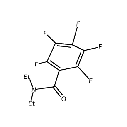 CCN(CC)C(=O)c1c(F)c(F)c(F)c(F)c1F